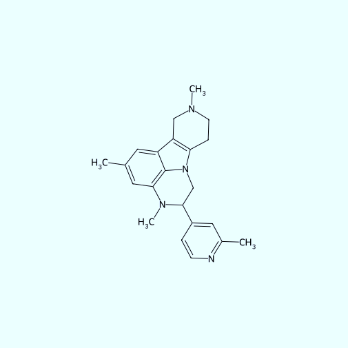 Cc1cc2c3c(c1)c1c(n3CC(c3ccnc(C)c3)N2C)CCN(C)C1